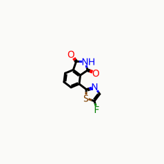 O=C1NC(=O)c2c1cccc2-c1ncc(F)s1